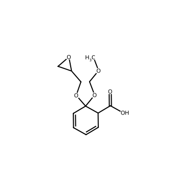 COCOC1(OCC2CO2)C=CC=CC1C(=O)O